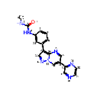 CCNC(=O)Nc1cccc(-c2cnn3cc(-c4cnccn4)cnc23)c1